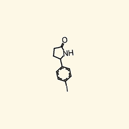 O=C1CCC(c2ccc(I)cc2)N1